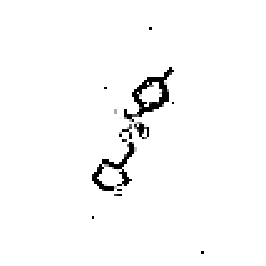 Cc1ccc(S(=O)(=O)OCC2CCCSC2)cc1